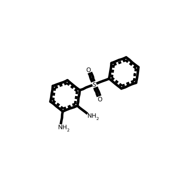 Nc1cccc(S(=O)(=O)c2ccccc2)c1N